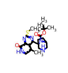 CSc1nc(C23CCC(CNC2)N3C(=O)OC(C)(C)C)c2c(C)c[nH]c(=O)c2n1